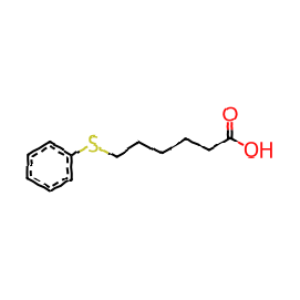 O=C(O)CCCCCSc1ccccc1